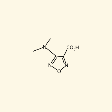 CN(C)c1nonc1C(=O)O